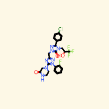 O=C1CN(c2nc(Cn3nc(-c4ccc(Cl)cc4)n(CC(O)C(F)(F)F)c3=O)nn2-c2ccccc2F)CCN1